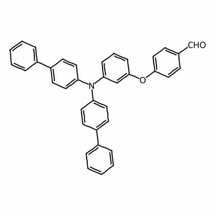 O=Cc1ccc(Oc2cccc(N(c3ccc(-c4ccccc4)cc3)c3ccc(-c4ccccc4)cc3)c2)cc1